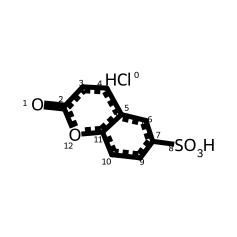 Cl.O=c1ccc2cc(S(=O)(=O)O)ccc2o1